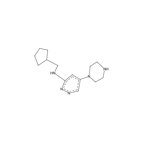 c1nnc(NCC2CCCC2)cc1N1CCNCC1